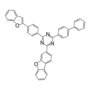 c1ccc(-c2ccc(-c3nc(-c4ccc(-c5cc6ccccc6o5)cc4)nc(-c4ccc5c(c4)oc4ccccc45)n3)cc2)cc1